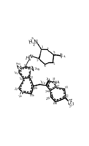 NC1CC(F)CCC1Nc1ncc2cncc(-c3c[nH]c4cc(C(F)(F)F)ccc34)c2n1